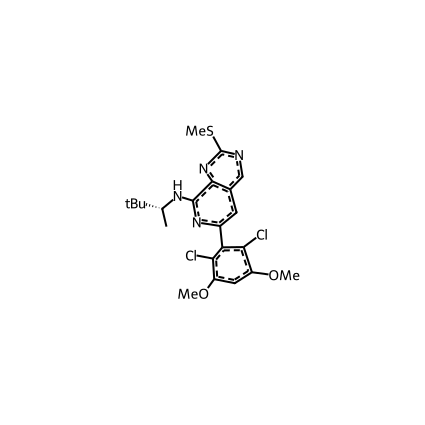 COc1cc(OC)c(Cl)c(-c2cc3cnc(SC)nc3c(N[C@H](C)C(C)(C)C)n2)c1Cl